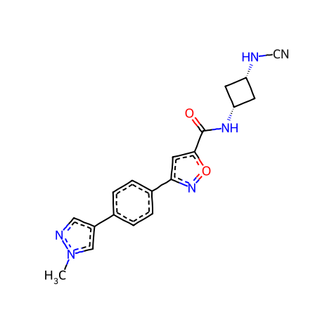 Cn1cc(-c2ccc(-c3cc(C(=O)N[C@H]4C[C@@H](NC#N)C4)on3)cc2)cn1